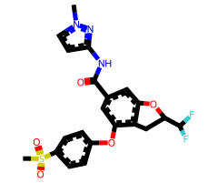 Cn1ccc(NC(=O)c2cc(Oc3ccc(S(C)(=O)=O)cc3)c3c(c2)OC(C(F)F)C3)n1